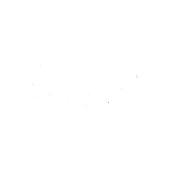 CC(=O)c1ccc2c(c1)ncn2-c1cccc(N2CCN(C(C)=NOC(C)C)CC2)c1